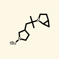 CC(C)(C)N1CCC(CC(C)(C)N2CCC3CC32)C1